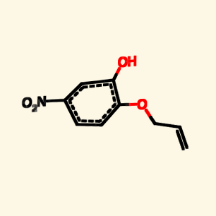 C=CCOc1ccc([N+](=O)[O-])cc1O